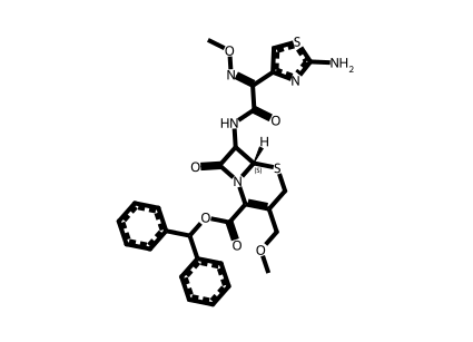 COCC1=C(C(=O)OC(c2ccccc2)c2ccccc2)N2C(=O)C(NC(=O)C(=NOC)c3csc(N)n3)[C@@H]2SC1